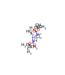 C#CC[C@H]1[C@H](CNC(=O)OC(C)(C)C)CCN1C(=O)OC(C)(C)C